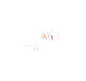 C[C@]12C=CC(=O)C=C1[C@@H](F)C[C@H]1[C@@H]3C[C@H]4O[C@@H](c5cccc(Cc6ccc(CO)c(N)c6)c5)O[C@@]4(C(=O)SCF)[C@@]3(C)C[C@H](O)[C@@]12F